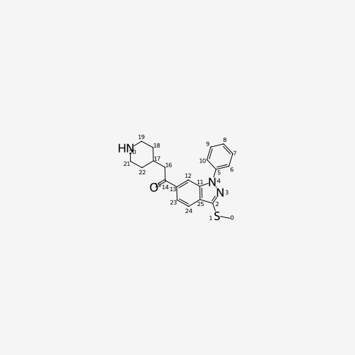 CSc1nn(-c2ccccc2)c2cc(C(=O)CC3CCNCC3)ccc12